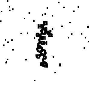 CCN(C)c1cc(C(=O)NC[C@H](O)CN2CCc3c(ccc(OCc4cnco4)c3Cl)C2)cc(NC2CCC2)n1